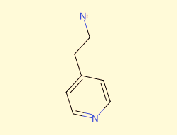 [N]CCc1ccncc1